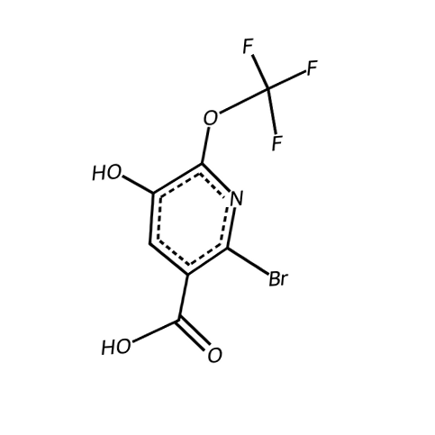 O=C(O)c1cc(O)c(OC(F)(F)F)nc1Br